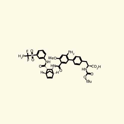 COc1cc(P)c(-c2ccc(C[C@H](NC(=O)OC(C)(C)C)C(=O)O)cc2)cc1C(=O)N[C@H]1[C@@H](C(=O)Nc2cccc(S(=O)(=O)C(F)(F)P)c2)[C@H]2C=C[C@H]1C2